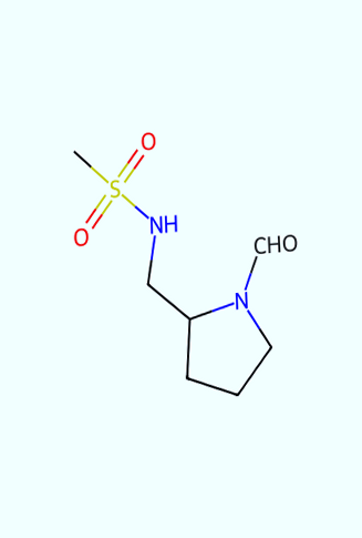 CS(=O)(=O)NCC1CCCN1C=O